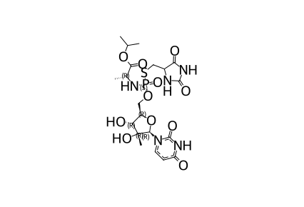 CC(C)OC(=O)[C@@H](C)N[P@](=O)(OC[C@H]1O[C@@H](n2ccc(=O)[nH]c2=O)[C@](C)(O)[C@@H]1O)SCC1NC(=O)NC1=O